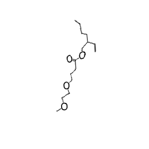 CCCCC(CC)COC(=O)CCCOCCOC